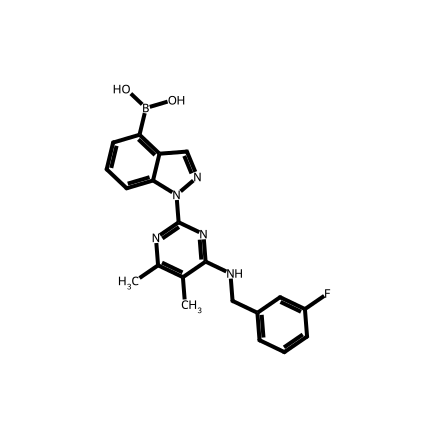 Cc1nc(-n2ncc3c(B(O)O)cccc32)nc(NCc2cccc(F)c2)c1C